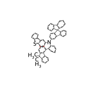 CC1(C)c2ccccc2-c2c(-c3ccccc3N(c3ccc4c(c3)-c3ccccc3C43c4ccccc4-c4ccccc43)c3ccc4sc5ccccc5c4c3)cccc21